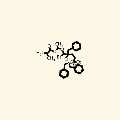 C=C(C)C(=O)OC(C)OC(CC)C1(Cc2ccccc2)CC[Si](CC)(CC)[Si](Cc2ccccc2)(Cc2ccccc2)O1